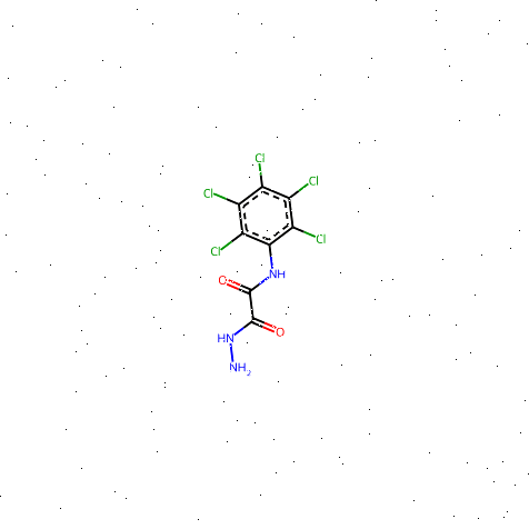 NNC(=O)C(=O)Nc1c(Cl)c(Cl)c(Cl)c(Cl)c1Cl